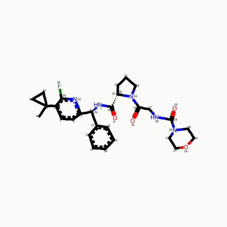 CC1(c2ccc([C@@H](NC(=O)[C@@H]3CCCN3C(=O)CNC(=O)N3CCOCC3)c3ccccc3)nc2F)CC1